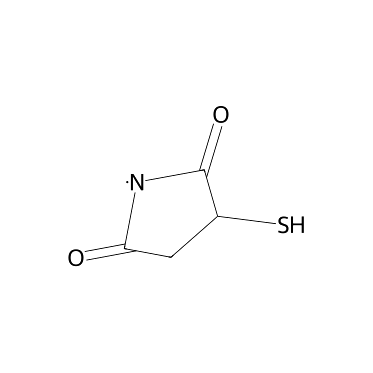 O=C1CC(S)C(=O)[N]1